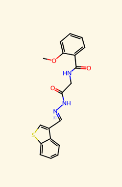 COc1ccccc1C(=O)NCC(=O)N/N=C/c1csc2ccccc12